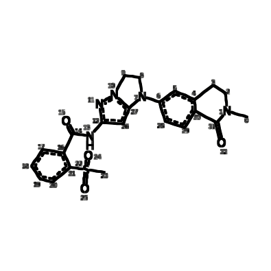 CN1CCc2cc(N3CCn4nc(NC(=O)c5ccccc5S(C)(=O)=O)cc43)ccc2C1=O